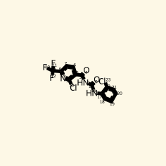 O=C(NC(=O)c1ccc(C(F)(F)F)nc1Cl)Nc1ccccc1Cl